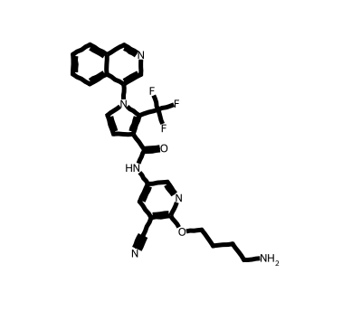 N#Cc1cc(NC(=O)c2ccn(-c3cncc4ccccc34)c2C(F)(F)F)cnc1OCCCCN